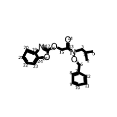 CC(C)CN(OCc1ccccc1)C(=O)COc1nc2ccccc2o1